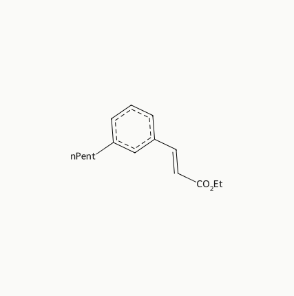 CCCCCc1cccc(C=CC(=O)OCC)c1